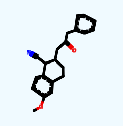 COc1ccc2c(c1)CCC(CC(=O)Cc1ccccc1)C2C#N